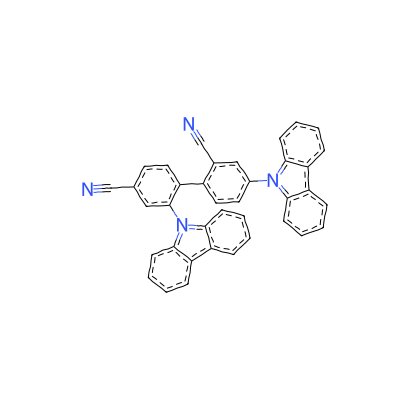 N#Cc1ccc(-c2ccc(-n3c4ccccc4c4ccccc43)cc2C#N)c(-n2c3ccccc3c3ccccc32)c1